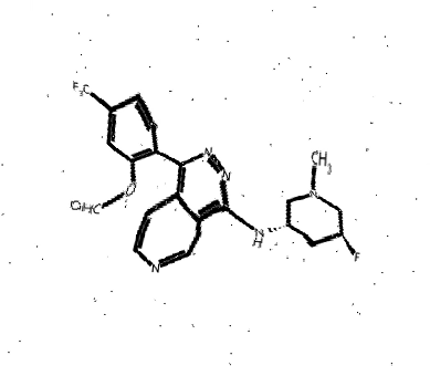 CN1C[C@@H](F)C[C@H](Nc2nnc(-c3ccc(C(F)(F)F)cc3OC=O)c3ccncc23)C1